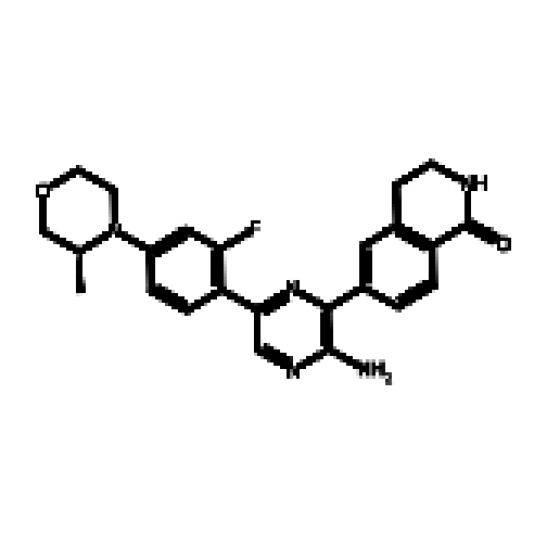 C[C@H]1COCCN1c1ccc(-c2cnc(N)c(-c3ccc4c(c3)CCNC4=O)n2)c(F)c1